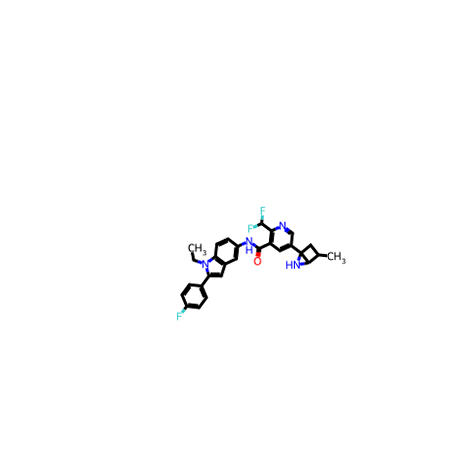 CCn1c(-c2ccc(F)cc2)cc2cc(NC(=O)c3cc(C45CC(C)C4N5)cnc3C(F)F)ccc21